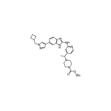 CC(c1ccnc(Nc2nc3ccc(-c4cnn(CC5CCC5)c4)cc3[nH]2)c1)N1CCN(C(=O)OC(C)(C)C)CC1